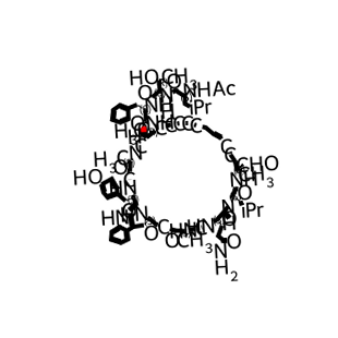 CC(=O)N[C@@H](CC(C)C)C(=O)N[C@H](C(=O)N[C@@H](Cc1ccccc1)C(=O)N[C@]1(C)CCCCCCC=CCCC[C@@](C)(C=O)NC(=O)[C@H](CC(C)C)NC(=O)[C@H](CCC(N)=O)NCN[C@@H](C)C(=O)CC(=O)[C@H](Cc2c[nH]c3ccccc23)NC(=O)[C@H](Cc2ccc(O)cc2)NCC(=O)[C@H](C)NCC1=O)[C@@H](C)O